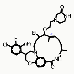 CCCc1c(C2COc3ccc4cc3N(CCC(CC)C(OCCN3CCNC(=O)C3)/C(C)=C/CCC(C)SNC4=O)C2)ccc(Cl)c1F